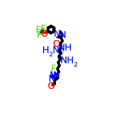 N/C(=C\C=C(/N)NC(=O)Cc1cn(-c2cccc(OC(F)(F)F)c2)cn1)CCC(F)Cn1cc(C=O)nn1